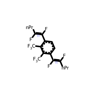 CCC/C(F)=C(\F)c1ccc(/C(F)=C(\F)CCC)c(C(F)(F)F)c1C(F)(F)F